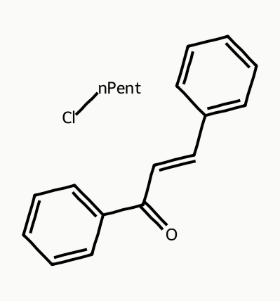 CCCCCCl.O=C(C=Cc1ccccc1)c1ccccc1